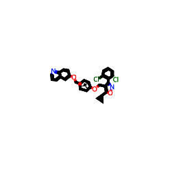 Clc1cccc(Cl)c1-c1noc(C2CC2)c1COC12CCC(COc3ccc4ncccc4c3)(CC1)CC2